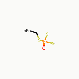 CCCCSP(=O)([S])[S]